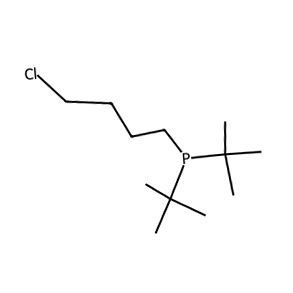 CC(C)(C)P(CCCCCl)C(C)(C)C